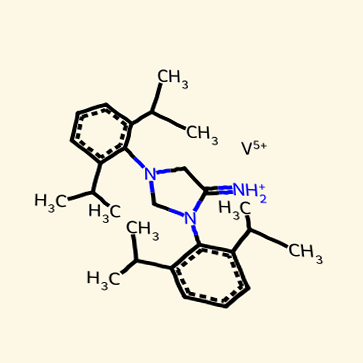 CC(C)c1cccc(C(C)C)c1N1CC(=[NH2+])N(c2c(C(C)C)cccc2C(C)C)C1.[V+5]